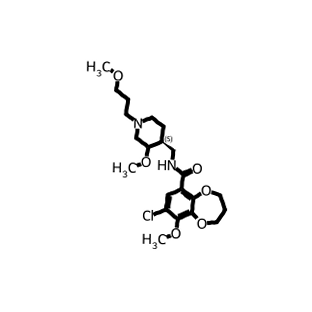 COCCCN1CC[C@@H](CNC(=O)c2cc(Cl)c(OC)c3c2OCCCO3)C(OC)C1